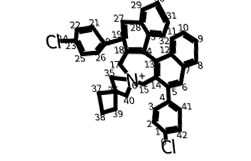 Clc1ccc(-c2cc3ccccc3c3c2C[N+]2(Cc4c(-c5ccc(Cl)cc5)cc5ccccc5c4-3)CC3(CCC3)C2)cc1